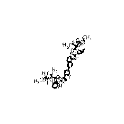 COC(=O)N[C@H](C(=O)N1C2CC2C[C@H]1c1nc2ccc3cc(-c4ccc(-c5cnc([C@@H]6[C@H]7CC[C@H](C7)N6C(=O)[C@@H](NC(=O)OC)C(C)C)[nH]5)c(F)c4)ccc3c2[nH]1)C(C)C